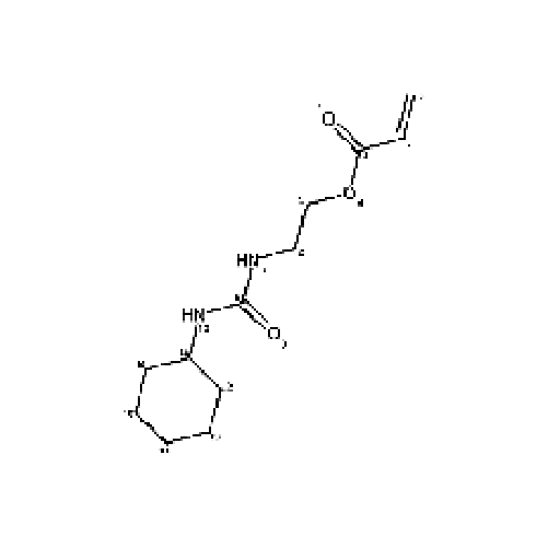 C=CC(=O)OCCNC(=O)NC1CCCCC1